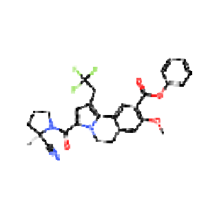 COc1cc2c(cc1C(=O)Oc1ccccc1)-c1c(CC(F)(F)F)cc(C(=O)N3CCC[C@]3(C)C#N)n1CC2